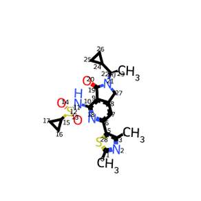 Cc1nc(C)c(-c2cc3c(c(NS(=O)(=O)C4CC4)n2)C(=O)N([C@H](C)C2CC2)C3)s1